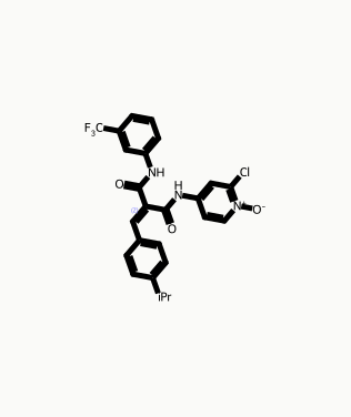 CC(C)c1ccc(/C=C(/C(=O)Nc2cccc(C(F)(F)F)c2)C(=O)Nc2cc[n+]([O-])c(Cl)c2)cc1